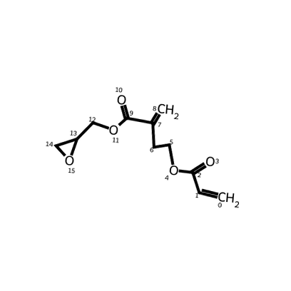 C=CC(=O)OCCC(=C)C(=O)OCC1CO1